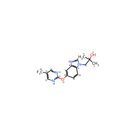 CC(C)(O)Cn1cnc2cc(Oc3ncc(C(F)(F)F)cn3)ccc21